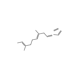 C=C.C=CC.C=CCC(C)=CCCC(C)=CC